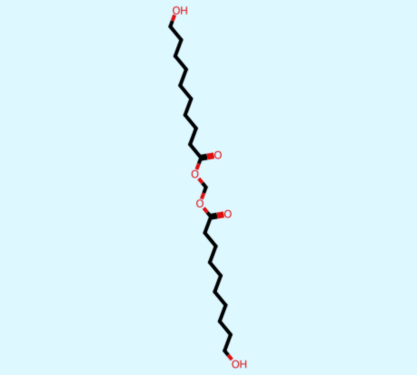 O=C(CCCCCCCCCO)OCOC(=O)CCCCCCCCCO